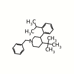 CC(C)c1ccccc1C1CN(Cc2ccccc2)CCC1C(C)(C)C